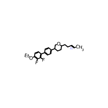 C/C=C/CCC1CCC(c2ccc(-c3ccc(OCC)c(F)c3F)cc2)CO1